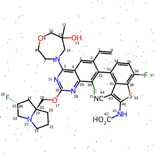 C=Cc1cc2c(N3CCOCC(C)(O)C3)nc(OC[C@@]34CCCN3C[C@H](F)C4)nc2c(F)c1-c1ccc(F)c2sc(NC(=O)O)c(C#N)c12